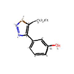 CCOC(=O)c1snnc1-c1cccc(O)c1